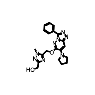 Cn1nc(CO)nc1COc1nn2c(-c3ccccc3)nnc2cc1N1CCCC1